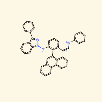 C(=C/c1cccc(Nn2nc(-c3ccccc3)c3ccccc32)c1-c1cc2ccccc2c2ccccc12)/Nc1ccccc1